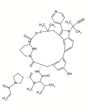 C=CC(=O)N1CC[C@H](C(=O)N(C)C(C(=O)N[C@H]2Cc3cc(O)cc(c3)-c3ccc4c(c3)c(c(-c3ccncc3)n4C(C)(C)C#N)CC(C)(C)COC(=O)[C@@H]3CCCN(N3)C2=O)C(C)C)C1